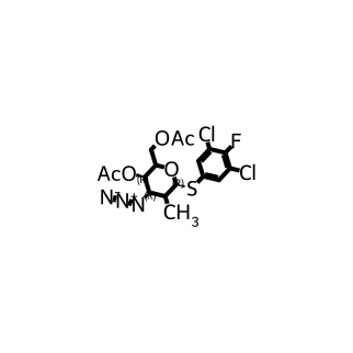 CC(=O)OCC1O[C@H](Sc2cc(Cl)c(F)c(Cl)c2)C(C)[C@@H](N=[N+]=[N-])[C@H]1OC(C)=O